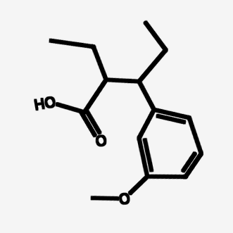 CCC(C(=O)O)C(CC)c1cccc(OC)c1